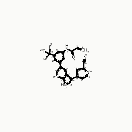 C=CC(=O)Nc1cc(-c2cnc3[nH]cc(-c4ccnc(C#N)c4)c3c2)cc(C(F)(F)F)c1